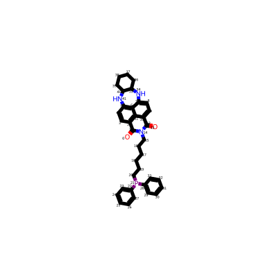 O=C1c2ccc3c4c(ccc(c24)C(=O)N1CCCCCCP(c1ccccc1)c1ccccc1)NC1CCCCC1N3